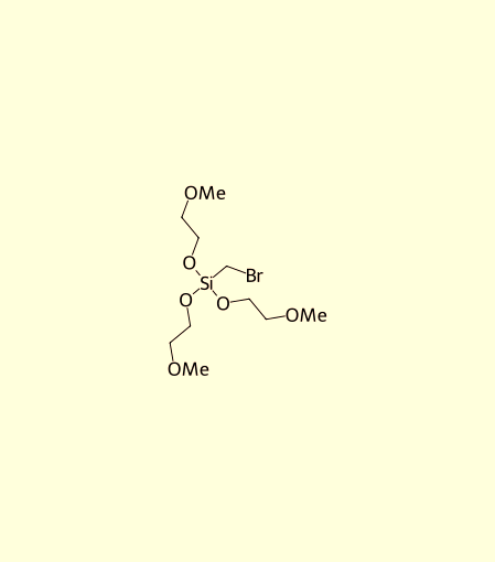 COCCO[Si](CBr)(OCCOC)OCCOC